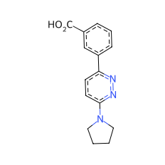 O=C(O)c1cccc(-c2ccc(N3CCCC3)nn2)c1